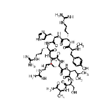 CN[C@@H](Cc1ccc(O)cc1)C(=O)N[C@@H](CCCNC(=N)N)C(=O)N[C@@H](Cc1c[nH]cn1)C(=O)N[C@@H](CCCNC(=N)N)C(=O)N[C@@H](CCCNC(=N)N)C(=O)N[C@@H](CC(C)C)C(=O)N[C@@H](CC(C)C)C(=O)N[C@@H](CO)C(=O)N[C@@H](C)C(N)=O